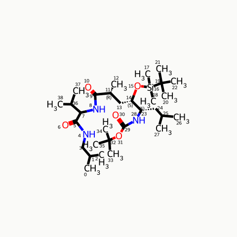 CC(C)CNC(=O)C(NC(=O)[C@H](C)C[C@H](O[Si](C)(C)C(C)(C)C)[C@H](CC(C)C)NC(=O)OC(C)(C)C)C(C)C